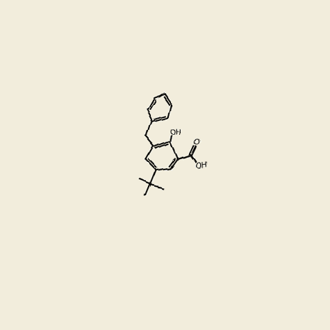 CC(C)(C)c1cc(Cc2ccccc2)c(O)c(C(=O)O)c1